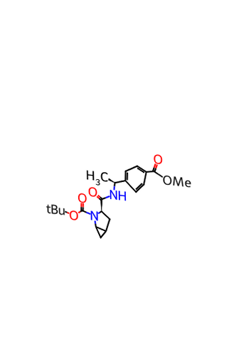 COC(=O)c1ccc([C@H](C)NC(=O)[C@H]2CC3CC3N2C(=O)OC(C)(C)C)cc1